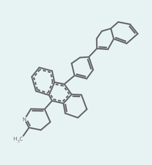 CC1=NC=C(c2c3c(c(C4=CC=C(C5=CC6=CC=CCC6CC5)CC4)c4ccccc24)=CCCC=3)CC1